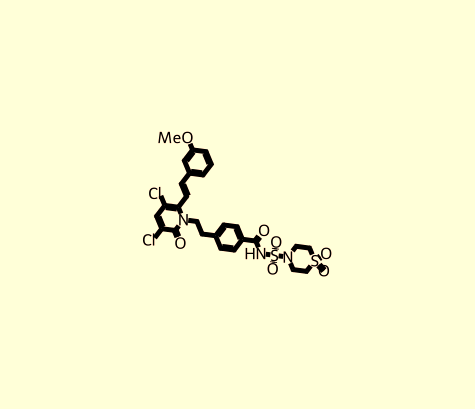 COc1cccc(/C=C/c2c(Cl)cc(Cl)c(=O)n2CCc2ccc(C(=O)NS(=O)(=O)N3CCS(=O)(=O)CC3)cc2)c1